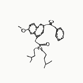 COc1ccc2cc(C(=O)c3ccccc3)cc(CC(=O)N(CCC(C)C)CCC(C)C)c2c1